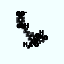 Cn1c(=O)n(C2CCC(=O)NC2=O)c2ccc(CCCCCNC(=O)c3ccc([N+](=O)[O-])cc3)cc21